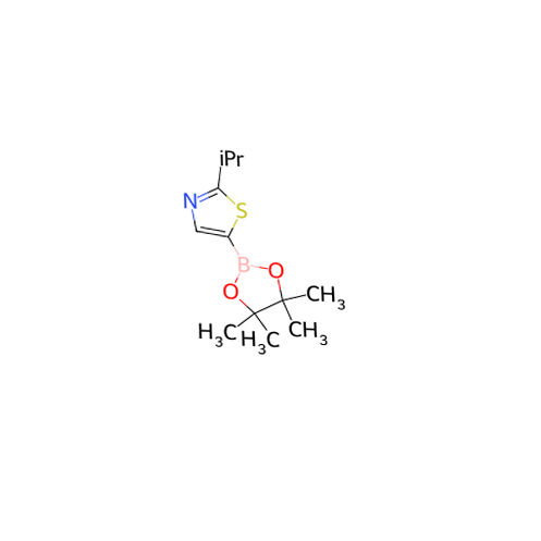 CC(C)c1ncc(B2OC(C)(C)C(C)(C)O2)s1